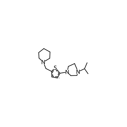 CC(C)N1CCN(c2[c]cc(CN3CCCCC3)s2)CC1